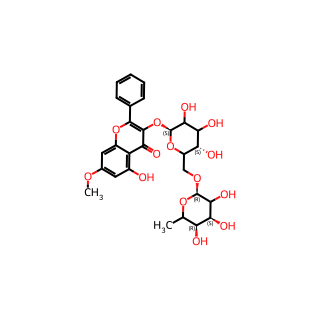 COc1cc(O)c2c(=O)c(O[C@@H]3OC(CO[C@@H]4OC(C)[C@H](O)[C@H](O)C4O)[C@@H](O)C(O)C3O)c(-c3ccccc3)oc2c1